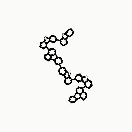 c1ccc2c(c1)-c1cccc3c(-c4cccc5oc6ccc(-c7cccc8c7oc7cc(-c9ccc%10c(c9)-c9cccc%11c(-c%12cccc%13oc%14ccc(-c%15cccc%16c%15sc%15ccccc%15%16)cc%14c%12%13)ccc-%10c9%11)ccc78)cc6c45)ccc-2c13